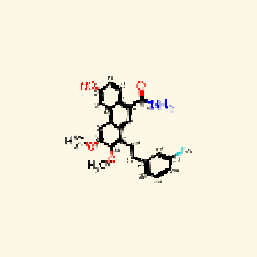 COc1cc2c(cc(C(N)=O)c3ccc(O)cc32)c(CCc2cccc(F)c2)c1OC